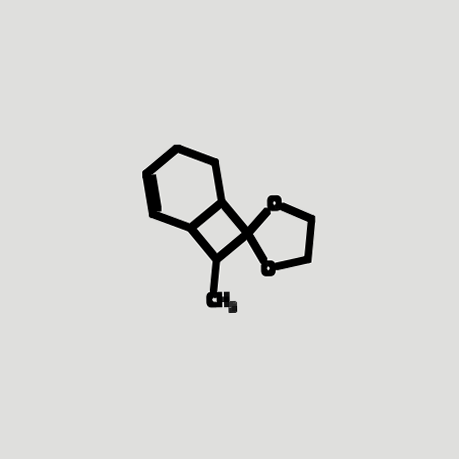 CC1C2C=CCCC2C12OCCO2